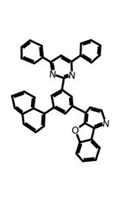 c1ccc(-c2cc(-c3ccccc3)nc(-c3cc(-c4cccc5ccccc45)cc(-c4ccnc5c4oc4ccccc45)c3)n2)cc1